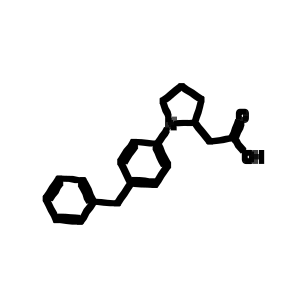 O=C(O)CC1CCCN1c1ccc(Cc2ccccc2)cc1